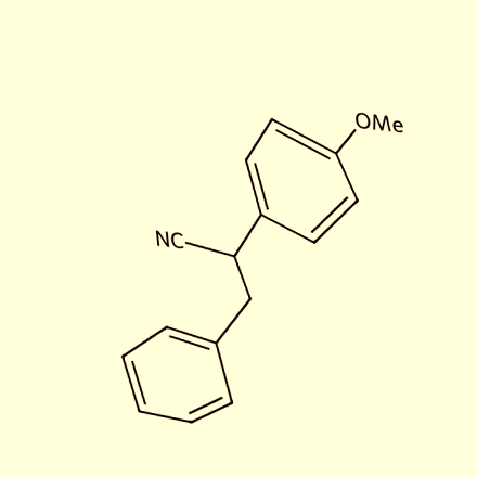 COc1ccc(C(C#N)Cc2ccccc2)cc1